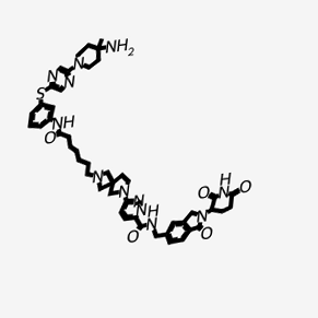 CC1(N)CCN(c2cnc(Sc3cccc(NC(=O)CCCCCCN4CC5(CCN(c6ccc(C(=O)NCc7ccc8c(c7)CN(C7CCC(=O)NC7=O)C8=O)nn6)C5)C4)c3)cn2)CC1